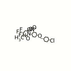 Cn1c(C(F)(F)F)cc(=O)n(-c2ccc(OCc3ccc(Cl)cc3)cc2[N+](=O)[O-])c1=O